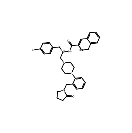 O=C(N[C@H](Cc1ccc(Cl)cc1)CN1CCN(c2ccccc2CN2CCCC2=O)CC1)C1=Cc2ccccc2CN1